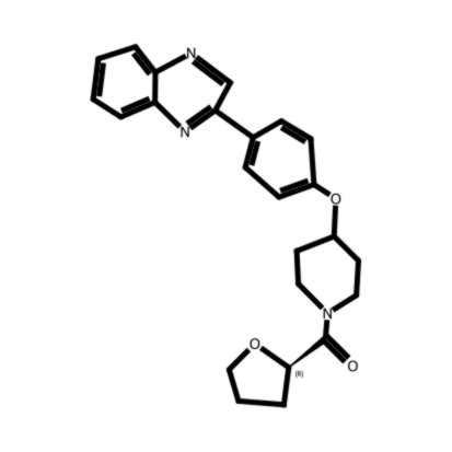 O=C([C@H]1CCCO1)N1CCC(Oc2ccc(-c3cnc4ccccc4n3)cc2)CC1